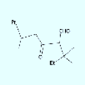 CCC(C)(C)C([C]=O)C(=O)CC(C)C(C)C